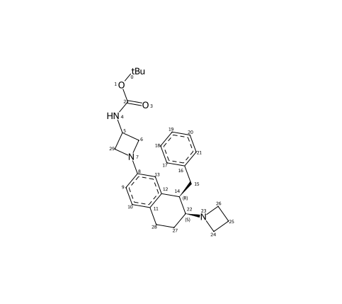 CC(C)(C)OC(=O)NC1CN(c2ccc3c(c2)[C@@H](Cc2ccccc2)[C@@H](N2CCC2)CC3)C1